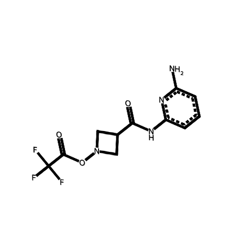 Nc1cccc(NC(=O)C2CN(OC(=O)C(F)(F)F)C2)n1